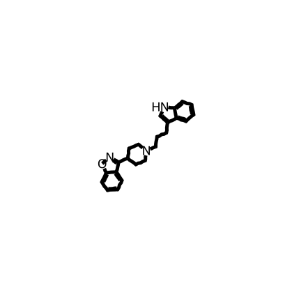 c1ccc2c(CCCN3CCC(c4noc5ccccc45)CC3)c[nH]c2c1